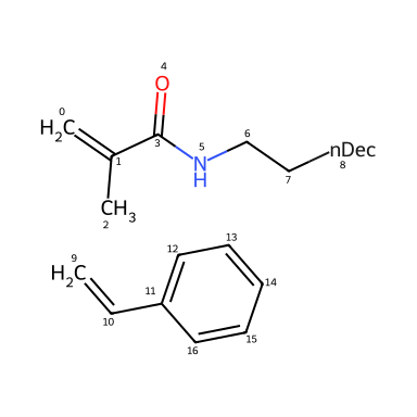 C=C(C)C(=O)NCCCCCCCCCCCC.C=Cc1ccccc1